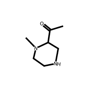 CC(=O)C1CNCCN1C